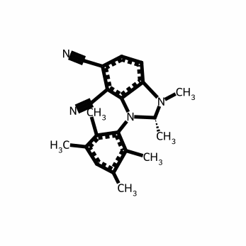 Cc1cc(C)c(C)c(N2c3c(ccc(C#N)c3C#N)N(C)[C@@H]2C)c1C